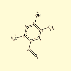 Cc1cc([C]=O)c(C)cc1O